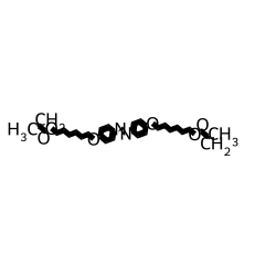 C=C(C)C(=O)OCCCCCCOc1ccc(N=Nc2ccc(OCCCCCCOC(=O)C(=C)C)cc2)cc1